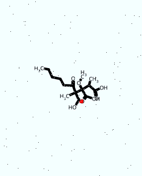 CCCCCC(=O)C(C)(C(=O)O)C(OC)(C(=O)O)C(C)C(=O)O